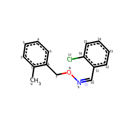 Cc1ccccc1CO/N=[C]\c1ccccc1Cl